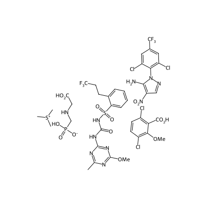 COc1c(Cl)ccc(Cl)c1C(=O)O.COc1nc(C)nc(NC(=O)NS(=O)(=O)c2ccccc2CCC(F)(F)F)n1.C[S+](C)C.Nc1c([N+](=O)[O-])cnn1-c1c(Cl)cc(C(F)(F)F)cc1Cl.O=C(O)CNCP(=O)([O-])O